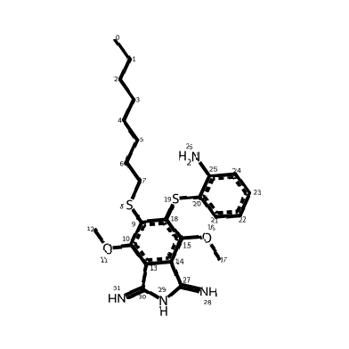 CCCCCCCCSc1c(OC)c2c(c(OC)c1Sc1ccccc1N)C(=N)NC2=N